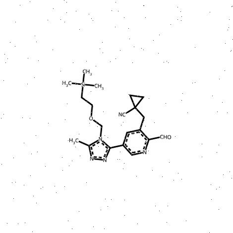 Cc1nnc(-c2cnc(C=O)c(CC3(C#N)CC3)c2)n1COCC[Si](C)(C)C